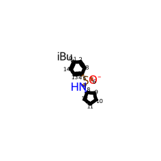 CCC(C)c1ccc([S+]([O-])NC2CCCC2)cc1